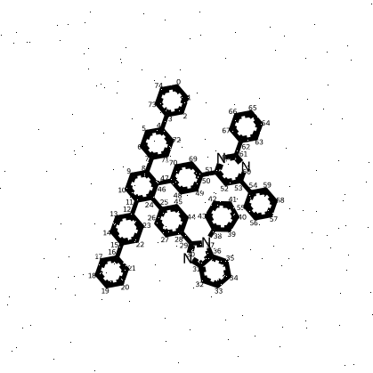 c1ccc(-c2ccc(-c3ccc(-c4ccc(-c5ccccc5)cc4)c(-c4ccc(-c5nc6ccccc6n5-c5ccccc5)cc4)c3-c3ccc(-c4cc(-c5ccccc5)nc(-c5ccccc5)n4)cc3)cc2)cc1